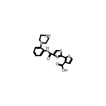 O=C(Nc1ccccc1N1CCNCC1)c1csc(-c2sccc2C(=O)O)n1